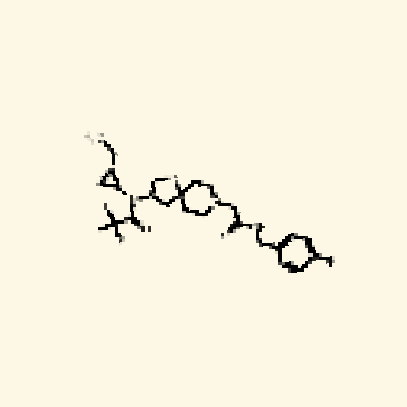 CC[C@@H]1C[C@H]1N(C(=O)C(F)(F)F)C1COC2(CCN(CC(=O)NCc3ccc(F)cc3)CC2)C1